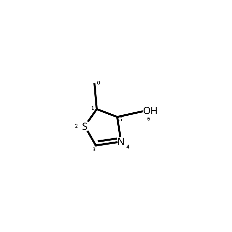 CC1SC=NC1O